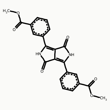 COC(=O)c1cccc(C2=C3C(=O)NC(c4cccc(C(=O)OC)c4)=C3C(=O)N2)c1